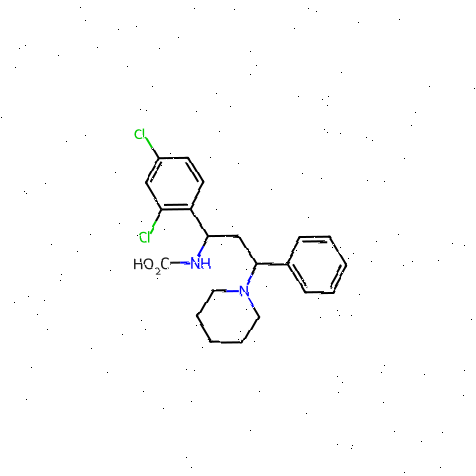 O=C(O)NC(CC(c1ccccc1)N1CCCCC1)c1ccc(Cl)cc1Cl